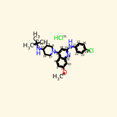 COc1ccc2c(N3CCC(NC(C)(C)C)CC3)cc(Nc3ccc(Cl)cc3)nc2c1.Cl